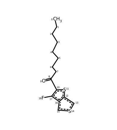 CCCCCCCCC(=O)c1sc2cscc2c1F